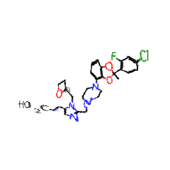 CC1(c2ccc(Cl)cc2F)Oc2cccc(N3CCN(Cc4ncc(/C=C/C(=O)O)n4C[C@@H]4CCO4)CC3)c2O1